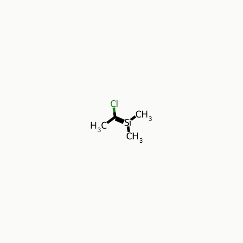 CC(Cl)=[Si](C)C